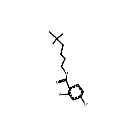 CC(C)(C)CCCCOC(=O)c1ccc(Br)cc1F